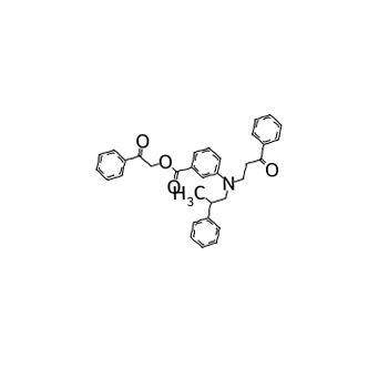 CC(CN(CCC(=O)c1ccccc1)c1cccc(C(=O)OCC(=O)c2ccccc2)c1)c1ccccc1